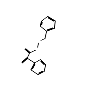 C=C(C(=O)OOCc1ccccc1)c1ccccc1